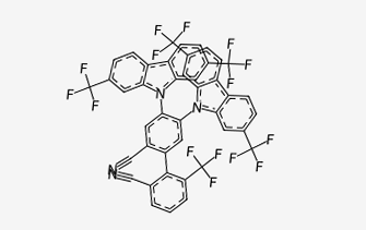 N#Cc1cc(-n2c3cc(C(F)(F)F)ccc3c3ccc(C(F)(F)F)cc32)c(-n2c3cc(C(F)(F)F)ccc3c3ccc(C(F)(F)F)cc32)cc1-c1c(C#N)cccc1C(F)(F)F